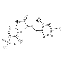 CCS(=O)(=O)c1ccc(NC(=O)OCCc2ccc(Br)cc2C)cc1C#N